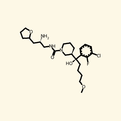 COCCCC[C@@](O)(c1cccc(Cl)c1F)[C@@H]1CCCN(C(=O)NC[C@@H](N)CC2CCCO2)C1